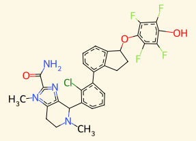 CN1CCc2c(nc(C(N)=O)n2C)C1c1cccc(-c2cccc3c2CCC3Oc2c(F)c(F)c(O)c(F)c2F)c1Cl